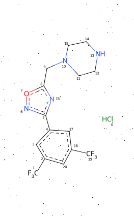 Cl.FC(F)(F)c1cc(-c2noc(CN3CCNCC3)n2)cc(C(F)(F)F)c1